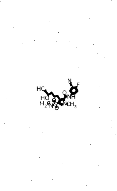 C#C[C@@H](O)CCCc1c(S(=O)(=O)N=C)cn(C)c1C(=O)Nc1ccc(F)c(C#N)c1